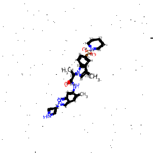 Cc1cc2cn(C3CNC3)nc2cc1NC(=O)C(C)n1cc(C)c2cc(S(=O)(=O)N3CCCCC3)ccc21